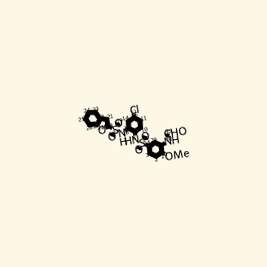 COc1ccc(S(=O)(=O)Nc2ccc(Cl)cc2NS(=O)(=O)c2cc3ccccc3o2)cc1NC=O